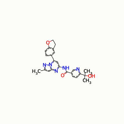 Cc1cc2nc(NC(=O)c3ccc(C(C)(C)O)nc3)cc(-c3ccc4c(c3)CCO4)n2n1